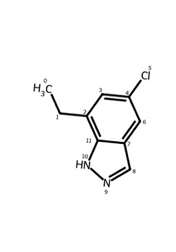 CCc1cc(Cl)cc2cn[nH]c12